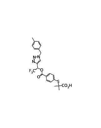 Cc1ccc(Cn2cc([C@@H](OC(=O)c3ccc(SC(C)(C)C(=O)O)cc3)C(F)(F)F)nn2)cc1